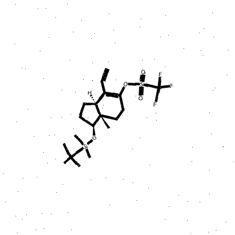 C=CC1=C(OS(=O)(=O)C(F)(F)F)CC[C@]2(C)[C@@H](O[Si](C)(C)C(C)(C)C)CC[C@@H]12